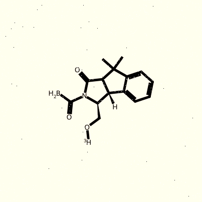 [3H]OC[C@@H]1[C@H]2c3ccccc3C(C)(C)C2C(=O)N1C(B)=O